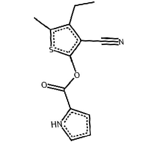 CCc1c(C)sc(OC(=O)c2ccc[nH]2)c1C#N